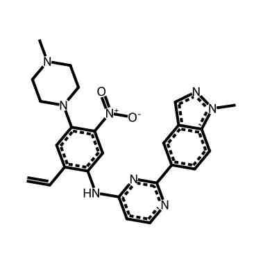 C=Cc1cc(N2CCN(C)CC2)c([N+](=O)[O-])cc1Nc1ccnc(-c2ccc3c(cnn3C)c2)n1